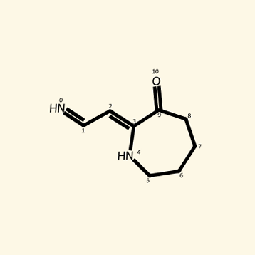 N=C/C=C1\NCCCCC1=O